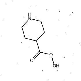 O=C(OO)C1CCNCC1